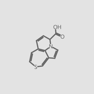 O=C(O)C1C=CC2=c3c(ccn31)=CSC=C2